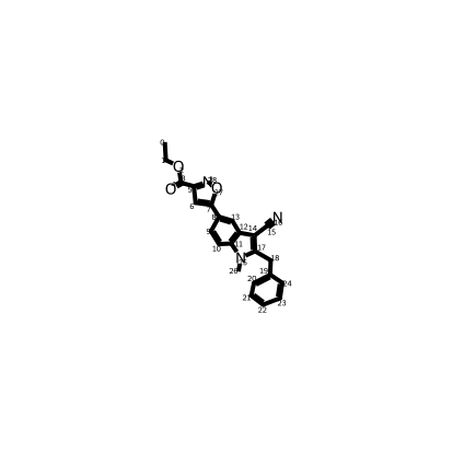 CCOC(=O)c1cc(-c2ccc3c(c2)c(C#N)c(Cc2ccccc2)n3C)on1